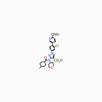 COc1ccc(-c2ccc(-n3cc(C(=O)O)c(N(C(=O)C4CCC(C)CC4)C4CCOCC4)n3)cc2Cl)cn1